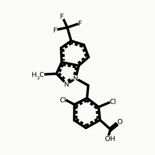 Cc1nn(Cc2c(Cl)ccc(C(=O)O)c2Cl)c2ccc(C(F)(F)F)cc12